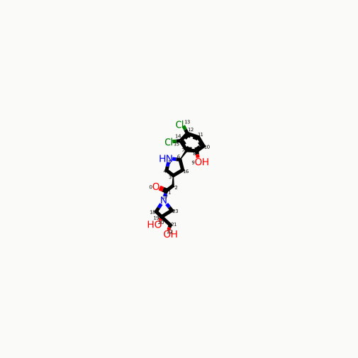 O=C(C[C@H]1CN[C@@H](c2c(O)ccc(Cl)c2Cl)C1)N1CC(O)(CO)C1